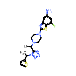 CCC(c1nnnn1C(C)c1cccs1)N1CCN(c2nc3cc(N)cc(F)c3s2)CC1